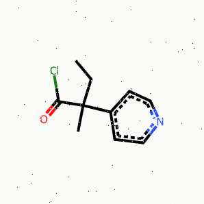 CCC(C)(C(=O)Cl)c1ccncc1